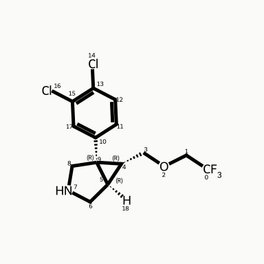 FC(F)(F)COC[C@@H]1[C@H]2CNC[C@]21c1ccc(Cl)c(Cl)c1